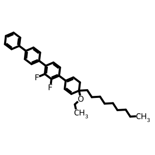 CCCCCCCCCC1(OCC)C=CC(c2ccc(-c3ccc(-c4ccccc4)cc3)c(F)c2F)=CC1